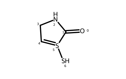 O=C1NCC=S1S